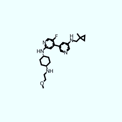 COCCN[C@H]1CC[C@H](Nc2cc(-c3cncc(NCC4(C)CC4)c3)c(F)cn2)CC1